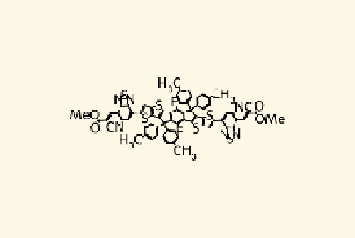 COC(=O)/C(C#N)=C/c1ccc(-c2cc3sc4c(c3s2)C(c2ccc(C)cc2)(c2ccc(C)cc2)c2c(F)c3c(c(F)c2-4)C(c2ccc(C)cc2)(c2ccc(C)cc2)c2c-3sc3cc(-c4ccc(/C=C(\C#N)C(=O)OC)c5nsnc45)sc23)c2nsnc12